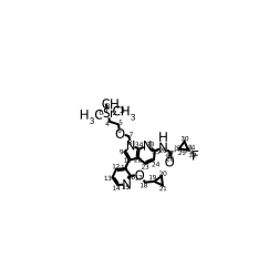 C[Si](C)(C)CCOCn1cc(-c2cccnc2OCC2CC2)c2ccc(NC(=O)[C@@H]3C[C@@H]3F)nc21